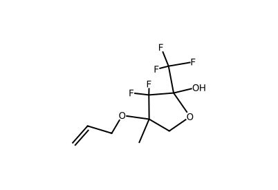 C=CCOC1(C)COC(O)(C(F)(F)F)C1(F)F